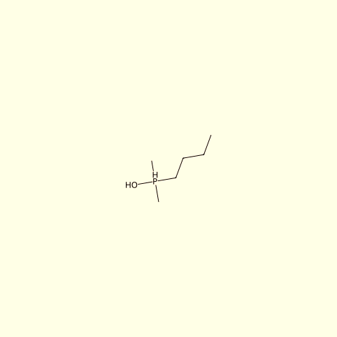 CCCC[PH](C)(C)O